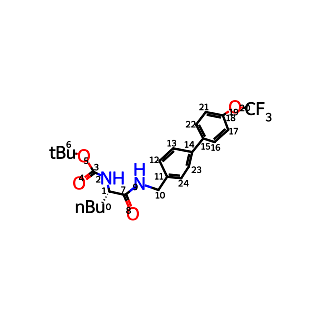 CCCC[C@H](NC(=O)OC(C)(C)C)C(=O)NCc1ccc(-c2ccc(OC(F)(F)F)cc2)cc1